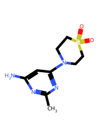 Cc1nc(N)cc(N2CCS(=O)(=O)CC2)n1